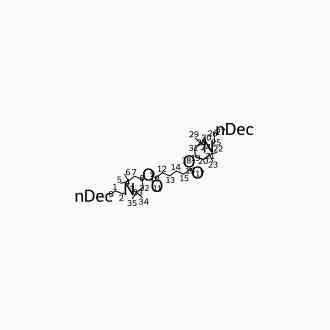 CCCCCCCCCCCCN1C(C)(C)CC(OC(=O)CCCCC(=O)OC2CC(C)(C)N(CCCCCCCCCCCC)C(C)(C)C2)CC1(C)C